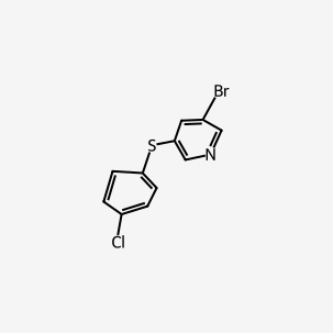 Clc1ccc(Sc2cncc(Br)c2)cc1